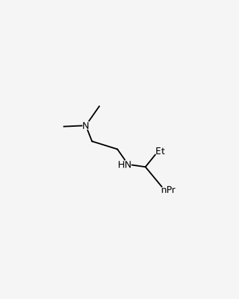 CCCC(CC)NCCN(C)C